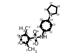 Cc1noc(C)c1S(=O)(=O)Nc1ccc(N2CCCC2)cc1